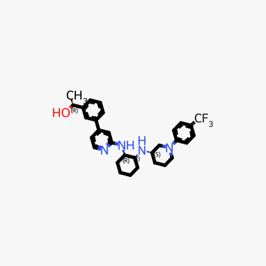 C[C@@H](O)c1cccc(-c2ccnc(N[C@@H]3CCCC[C@H]3N[C@H]3CCCN(c4ccc(C(F)(F)F)cc4)C3)c2)c1